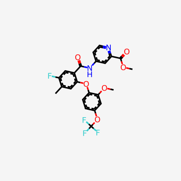 COC(=O)c1cc(NC(=O)c2cc(F)c(C)cc2Oc2ccc(OC(F)(F)F)cc2OC)ccn1